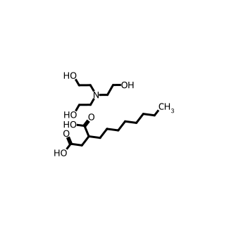 CCCCCCCCC(CC(=O)O)C(=O)O.OCCN(CCO)CCO